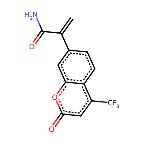 C=C(C(N)=O)c1ccc2c(C(F)(F)F)cc(=O)oc2c1